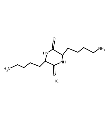 Cl.NCCCCC1NC(=O)C(CCCCN)NC1=O